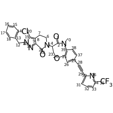 CN1C(=O)C(N2CCc3c(nn(Cc4ccccc4)c3Cl)C2=O)COc2cc(C#Cc3cccc(C(F)(F)F)n3)ccc21